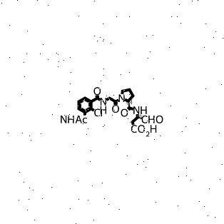 CC(=O)Nc1cccc(C(=O)NCC(=O)N2CCC[C@H]2C(=O)N[C@H](C=O)CC(=O)O)c1Cl